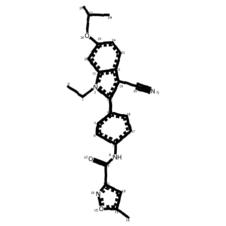 CCn1c(-c2ccc(NC(=O)c3cc(C)on3)cc2)c(C#N)c2ccc(OC(C)C)cc21